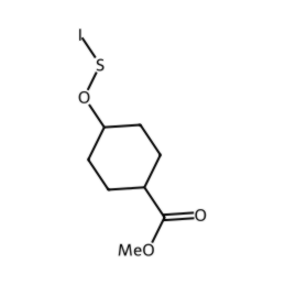 COC(=O)C1CCC(OSI)CC1